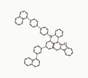 c1cc(-c2cccc(N(c3ccc(-c4ccc(-c5cccc6ccccc56)cc4)cc3)c3ccccc3-c3cccc4c3oc3ccccc34)c2)cc(-c2cccc3ccccc23)c1